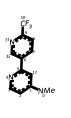 CNc1ccnc(-c2ccc(C(F)(F)F)nc2)c1